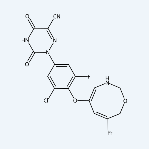 CC(C)/C1=C/C(Oc2c(F)cc(-n3nc(C#N)c(=O)[nH]c3=O)cc2Cl)=C\NCOC1